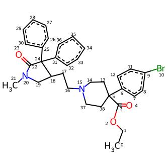 CCOC(=O)C1(c2ccc(Br)cc2)CCN(CCC2CN(C)C(=O)C2(c2ccccc2)c2ccccc2)CC1